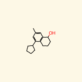 Cc1cc2c(c(C3CCCC3)c1)CCCC2O